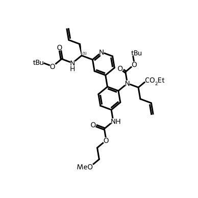 C=CCC(C(=O)OCC)N(C(=O)OC(C)(C)C)c1cc(NC(=O)OCCOC)ccc1-c1ccnc([C@H](CC=C)NC(=O)OC(C)(C)C)c1